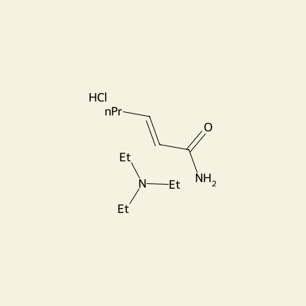 CCCC=CC(N)=O.CCN(CC)CC.Cl